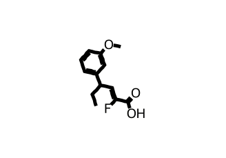 CCC(C=C(F)C(=O)O)c1cccc(OC)c1